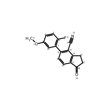 COc1ccc(F)c(-c2ccc3c(c2C#N)CCC3=O)c1